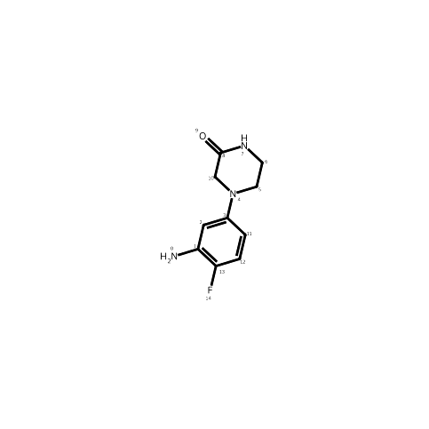 Nc1cc(N2CCNC(=O)C2)ccc1F